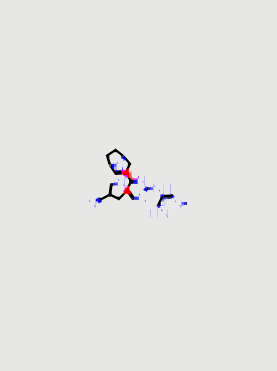 CN/C=C(\C=N)Nc1nccc(C2=CC3CCC(C2)N3C(=O)N2CCC(C#N)C2)n1